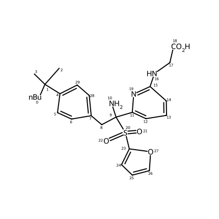 CCCCC(C)(C)c1ccc(CC(N)(c2cccc(NCC(=O)O)n2)S(=O)(=O)c2ccco2)cc1